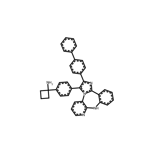 NC1(c2ccc(-c3c(-c4ccc(-c5ccccc5)cc4)nc4n3-c3cccnc3Nc3ccccc3-4)cc2)CCC1